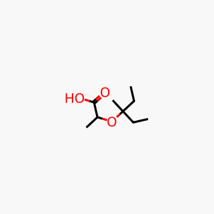 CCC(C)(CC)OC(C)C(=O)O